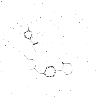 O=C(NC[C@@H](CCl)OC(O)Nc1ccc(N2CCOCC2=O)cc1)c1ccc(Cl)s1